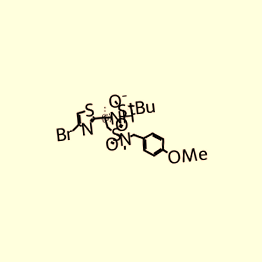 COc1ccc(CN(C)S(=O)(=O)C[C@](C)(N[S+]([O-])C(C)(C)C)c2nc(Br)cs2)cc1